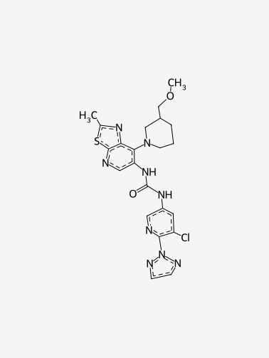 COCC1CCCN(c2c(NC(=O)Nc3cnc(-n4nccn4)c(Cl)c3)cnc3sc(C)nc23)C1